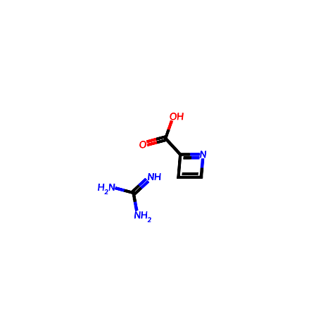 N=C(N)N.O=C(O)C1=NC=C1